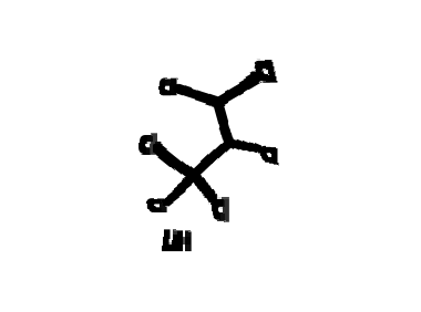 ClC(Cl)C(Cl)C(Cl)(Cl)Cl.[LiH]